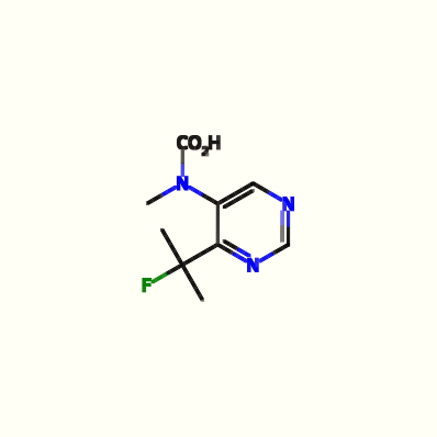 CN(C(=O)O)c1cncnc1C(C)(C)F